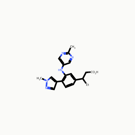 CCC(CC(=O)O)c1ccc(-c2cnn(C)c2)c(Nc2cnc(C)nc2)c1